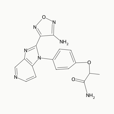 CC(Oc1ccc(-n2c(-c3nonc3N)nc3cnccc32)cc1)C(N)=O